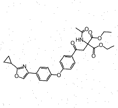 CCOC(=O)C(CC(=O)c1ccc(Oc2ccc(-c3coc(C4CC4)n3)cc2)cc1)(NC(C)=O)C(=O)OCC